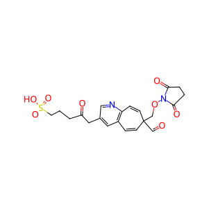 O=CC1(CON2C(=O)CCC2=O)C=Cc2cc(CC(=O)CCCS(=O)(=O)O)cnc2C=C1